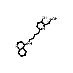 O/N=C/c1nc(CCCCNc2ccnc3ccccc23)ccc1O